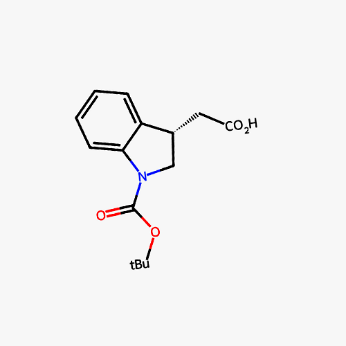 CC(C)(C)OC(=O)N1C[C@@H](CC(=O)O)c2ccccc21